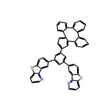 c1ccc2c(c1)-c1ccccc1-c1ccc(-c3cc(-c4ccc5sc6cccnc6c5c4)cc(-c4ccc5sc6cccnc6c5c4)c3)cc1-c1ccccc1-2